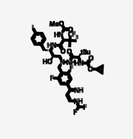 COC(=O)N[C@H](C(=O)N[C@@H](Cc1ccc(I)cc1)[C@@H](O)CN(Cc1c(F)cc(C(=N)/C=C\NC(F)F)cc1F)NC(=O)[C@@H](NC(=O)OC1CC1)C(C)(C)C)C(C)(C)C(F)(F)F